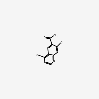 NC(=O)c1cc2c(Cl)ccnc2cc1Cl